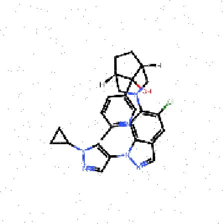 Cc1ccc(C2(O)[C@@H]3CC[C@H]2CN(c2cc4c(cnn4-c4cnn(C5CC5)c4)cc2Cl)C3)cn1